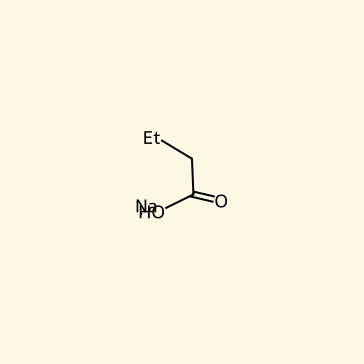 CCCC(=O)O.[Na]